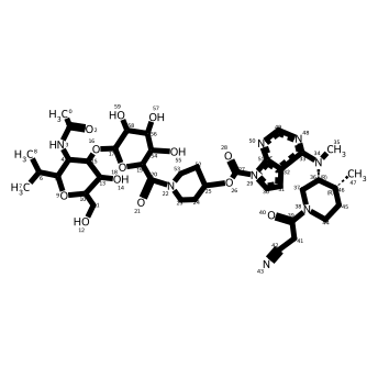 CC(=O)NC1C(C(C)C)OC(CO)C(O)C1OC1OC(C(=O)N2CCC(OC(=O)n3ccc4c(N(C)[C@H]5CN(C(=O)CC#N)CC[C@H]5C)ncnc43)CC2)C(O)C(O)C1O